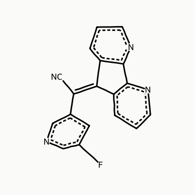 N#CC(=C1c2cccnc2-c2ncccc21)c1cncc(F)c1